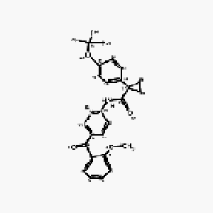 COc1ccccc1C(=O)c1ccc(NC(=O)C2(c3ccc(OC(F)(F)F)cc3)CC2)nc1